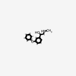 CNCC(O)c1cccc(Oc2ccccc2)c1